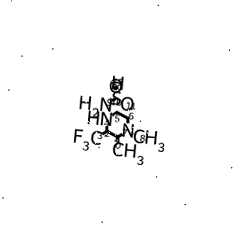 CC1C(C(F)(F)F)NCCN1C.N[SH](=O)=O